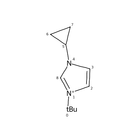 CC(C)(C)[n+]1ccn(C2CC2)c1